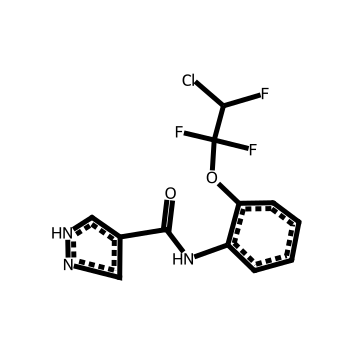 O=C(Nc1ccccc1OC(F)(F)C(F)Cl)c1cn[nH]c1